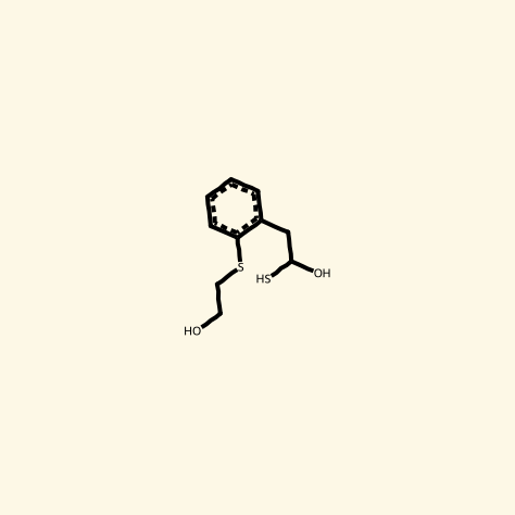 OCCSc1ccccc1CC(O)S